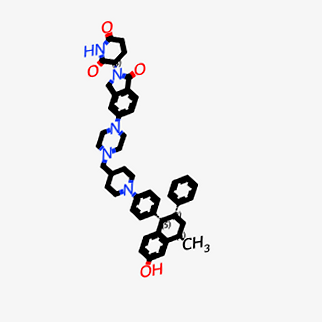 C[C@H]1C[C@@H](c2ccccc2)[C@@H](c2ccc(N3CCC(CN4CCN(c5ccc6c(c5)CN([C@H]5CCC(=O)NC5=O)C6=O)CC4)CC3)cc2)c2ccc(O)cc21